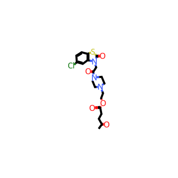 CC(=O)CCC(=O)OCCN1CCN(C(=O)Cn2c(=O)sc3ccc(Cl)cc32)CC1